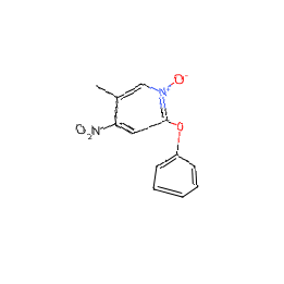 Cc1c[n+]([O-])c(Oc2ccccc2)cc1[N+](=O)[O-]